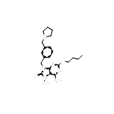 CCCCOc1nc(N)c2c(n1)n(Cc1cccc(CN3CCCC3)c1)c(=O)n2O